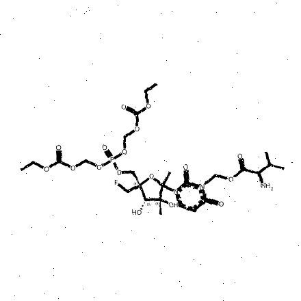 CCOC(=O)OCOP(=O)(OCOC(=O)OCC)OC[C@@]1(CF)OC(C)(n2ccc(=O)n(COC(=O)C(N)C(C)C)c2=O)[C@](C)(O)[C@@H]1O